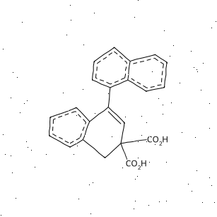 O=C(O)C1(C(=O)O)C=C(c2cccc3ccccc23)c2ccccc2C1